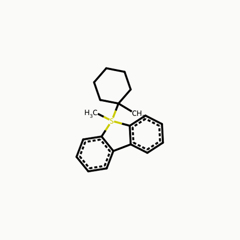 CC1(S2(C)c3ccccc3-c3ccccc32)CCCCC1